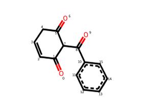 O=C1C=CCC(=O)C1C(=O)c1ccccc1